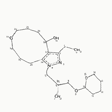 CCc1nn(C[C@@H](C)COC2CCCCO2)c2c1C(O)CCCOCCC2